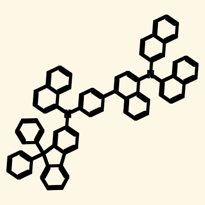 c1ccc(C2(c3ccccc3)c3ccccc3-c3ccc(N(c4ccc(-c5ccc(N(c6ccc7ccccc7c6)c6cccc7ccccc67)c6ccccc56)cc4)c4cccc5ccccc45)cc32)cc1